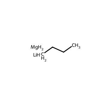 [CH2]CCC.[LiH].[MgH2]